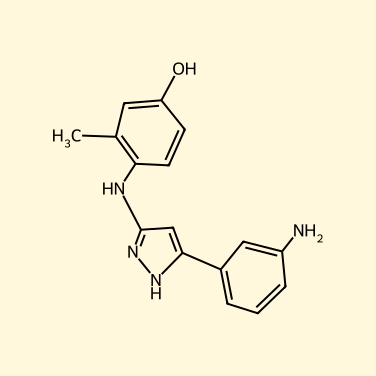 Cc1cc(O)ccc1Nc1cc(-c2cccc(N)c2)[nH]n1